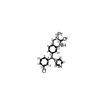 CC(C)N1Cc2ccc(C(c3cccc(Cl)c3)n3ccnc3)cc2NC1=O